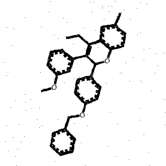 CCC1=C(c2cccc(OC)c2)C(c2ccc(OCc3ccccc3)cc2)Oc2ccc(C)cc21